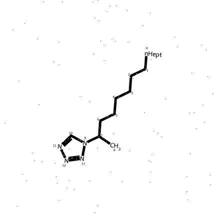 CCCCCCCCCCCCCC(C)n1cnnn1